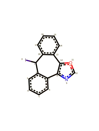 IC1c2ccccc2-c2ncoc2-c2ccccc21